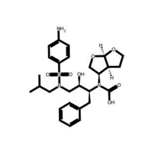 CC(C)CN(C[C@@H](O)[C@H](Cc1ccccc1)N(C(=O)O)[C@H]1CO[C@H]2OCC[C@H]21)S(=O)(=O)c1ccc(N)cc1